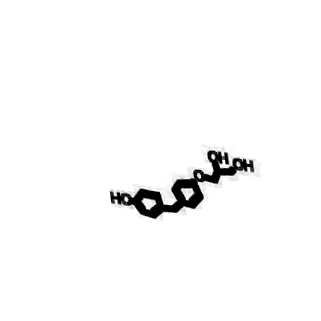 OCC(O)COc1ccc(Cc2ccc(O)cc2)cc1